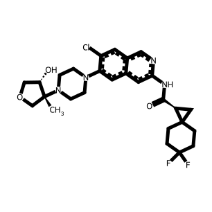 C[C@@]1(N2CCN(c3cc4cc(NC(=O)[C@H]5CC56CCC(F)(F)CC6)ncc4cc3Cl)CC2)COC[C@@H]1O